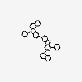 c1ccc(-c2nc(-c3cccc4ccccc34)nc3c2oc2ccc(-c4ccc5c(c4)c4c6ccccc6ccc4n5-c4ccccc4)cc23)cc1